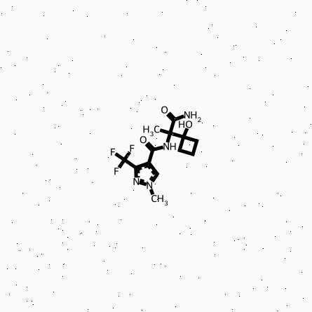 Cn1cc(C(=O)NC(C)(C(N)=O)C2(O)CCC2)c(C(F)(F)F)n1